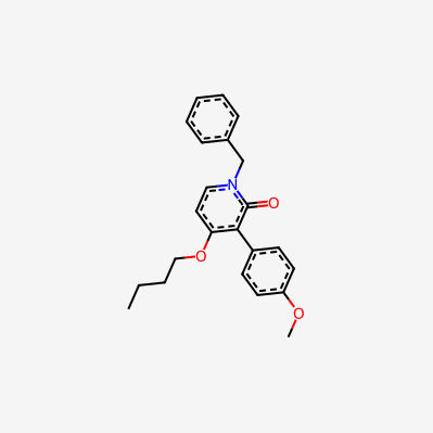 CCCCOc1ccn(Cc2ccccc2)c(=O)c1-c1ccc(OC)cc1